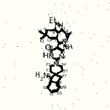 CCn1nc(C2CC2)c2c1CC(C)(C)C=C2c1n[nH]c2nc(N3CCC4(CC3)Cc3ccccc3[C@H]4N)[nH]c(=O)c12